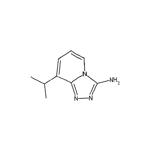 CC(C)c1cccn2c(N)nnc12